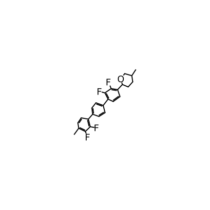 Cc1ccc(-c2ccc(-c3ccc(C4CCC(C)CO4)c(F)c3F)cc2)c(F)c1F